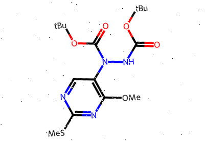 COc1nc(SC)ncc1N(NC(=O)OC(C)(C)C)C(=O)OC(C)(C)C